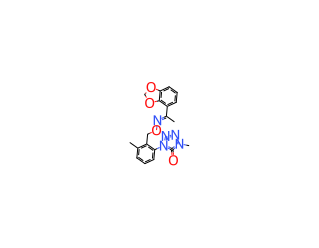 CC(=NOCc1c(C)cccc1-n1nnn(C)c1=O)c1cccc2c1OCO2